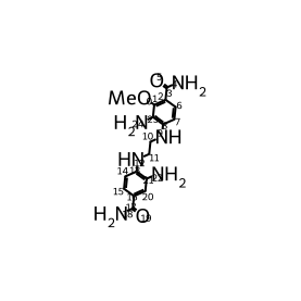 COc1c(C(N)=O)ccc(NCCNc2ccc(C(N)=O)cc2N)c1N